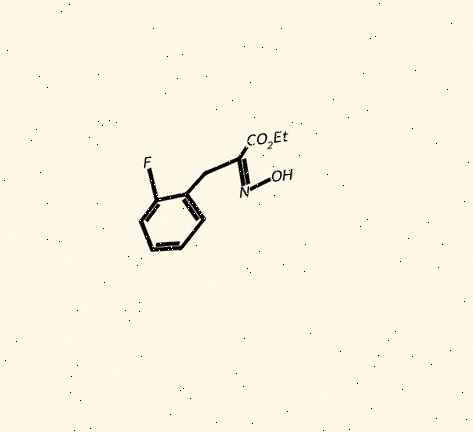 CCOC(=O)C(Cc1ccccc1F)=NO